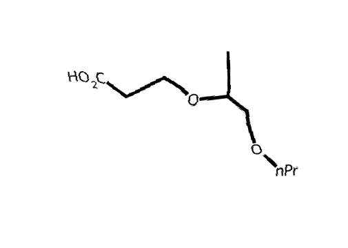 CCCOCC(C)OCCC(=O)O